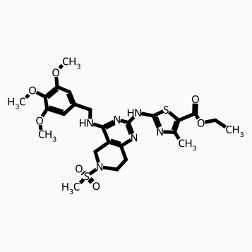 CCOC(=O)c1sc(Nc2nc3c(c(NCc4cc(OC)c(OC)c(OC)c4)n2)CN(S(C)(=O)=O)CC3)nc1C